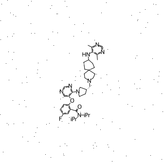 Cc1ncnc(C)c1NC1CCC2(CC1)CCN(C[C@@H]1CCN(c3ncncc3Oc3ccc(F)cc3C(=O)N(C(C)C)C(C)C)C1)CC2